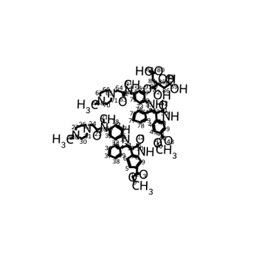 COC(=O)c1ccc2c(c1)NC(=O)/C2=C(\Nc1ccc(N(C)C(=O)CN2CCN(C)CC2)cc1)c1ccccc1.COC(=O)c1ccc2c(c1)NC(=O)/C2=C(\Nc1ccc(N(C)C(=O)CN2CCN(C)CC2)cc1)c1ccccc1.O=C(O)CC(O)(CC(=O)O)C(=O)O